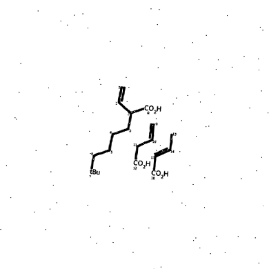 C=CC(CCCCC(C)(C)C)C(=O)O.C=CCC(=O)O.CC=CC(=O)O